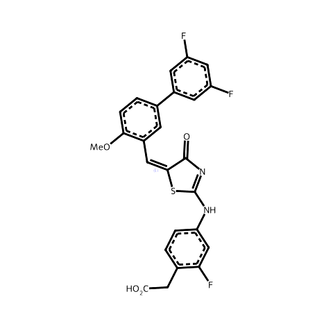 COc1ccc(-c2cc(F)cc(F)c2)cc1/C=C1/SC(Nc2ccc(CC(=O)O)c(F)c2)=NC1=O